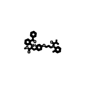 COC(=O)C(Cc1ccc(OCCCN(C(=O)C(C)C)c2ccccc2C)cc1)Nc1ccccc1C(=O)c1ccccc1